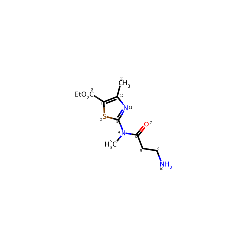 CCOC(=O)c1sc(N(C)C(=O)CCN)nc1C